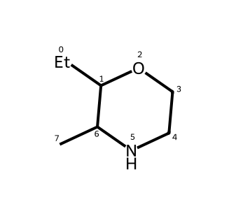 CCC1OCCNC1C